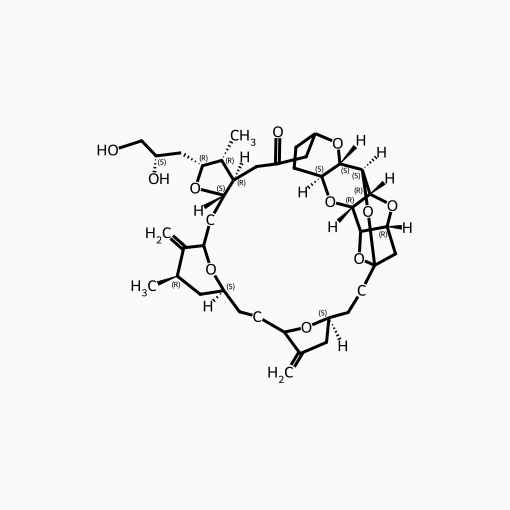 C=C1C[C@@H]2CCC34C[C@H]5O[C@H]6[C@@H](O3)[C@H]3OC(CC[C@@H]3O[C@H]6C5O4)CC(=O)C[C@@H]3[C@@H](C)[C@@H](C[C@H](O)CO)O[C@H]3CC3O[C@@H](CCC1O2)C[C@@H](C)C3=C